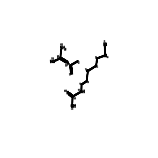 C=CC.CCOCCOCCNC(O)=S.NC(O)=S